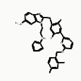 Cc1ccc(COc2cccc(-c3cc(F)c(Cc4nc5ccc(C(=O)O)cc5n4CCNc4ccccc4)cc3F)n2)c(F)c1